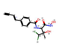 C#C/C=C/c1ccc(C(=O)NC(C(=O)NO)[C@](C)(O)C(F)F)cc1